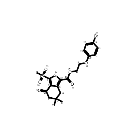 CC1(C)CC(=O)c2c(S(C)(=O)=O)sc(C(=O)OCCOc3ccc(Br)cc3)c2C1